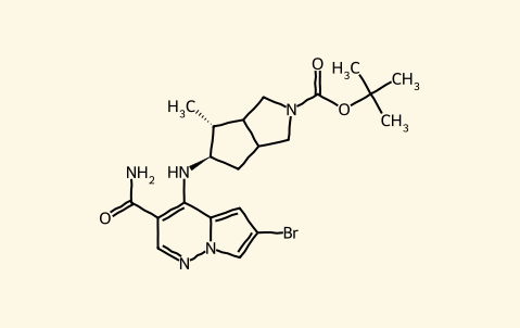 C[C@@H]1C2CN(C(=O)OC(C)(C)C)CC2C[C@H]1Nc1c(C(N)=O)cnn2cc(Br)cc12